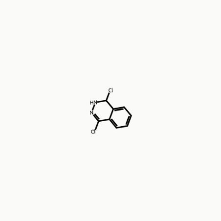 Cl[C]1NN=C(Cl)c2ccccc21